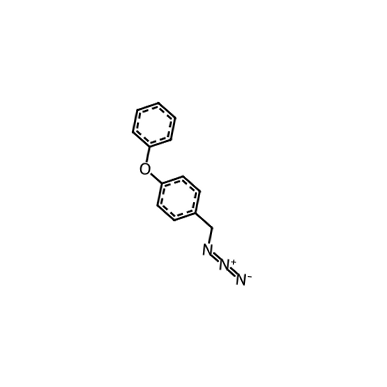 [N-]=[N+]=NCc1ccc(Oc2ccccc2)cc1